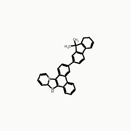 CC1(C)C2=C(C=CCC2)c2ccc(-c3ccc4c5c(c6ccccc6c4c3)NC3C=CC=CN53)cc21